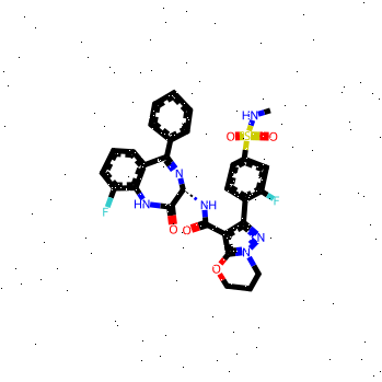 CNS(=O)(=O)c1ccc(-c2nn3c(c2C(=O)N[C@H]2N=C(c4ccccc4)c4cccc(F)c4NC2=O)OCCC3)c(F)c1